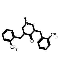 CN1CC(Cc2ccccc2C(F)(F)F)C(=O)C(Cc2ccccc2C(F)(F)F)C1